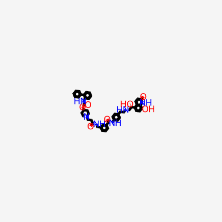 O=C(CCN1CCC(OC(=O)Nc2ccccc2-c2ccccc2)CC1)NCc1cccc(C(=O)Nc2ccc(CCNC[C@H](O)c3ccc(O)c4[nH]c(=O)ccc34)cc2)c1